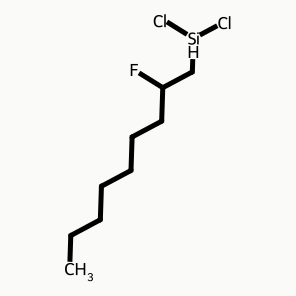 CCCCCCCC(F)C[SiH](Cl)Cl